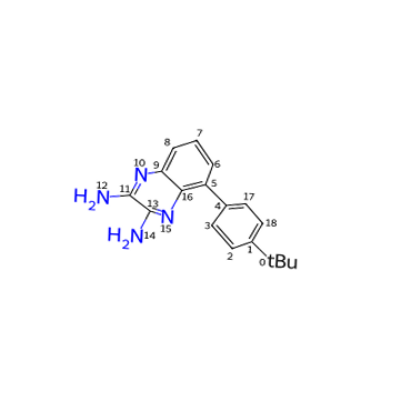 CC(C)(C)c1ccc(-c2cccc3nc(N)c(N)nc23)cc1